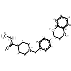 CNC(=O)C1CCN(Cc2ccc([C@H]3COc4cccnc4O3)cc2)CC1